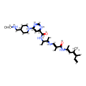 C=C/C(C)=C(\C=C(/C)NC(=O)/C(C)=C/N=C(\C)C(C)NC(=O)c1cc(N2CCC(CNC=O)CC2)ncn1)C(F)(F)F